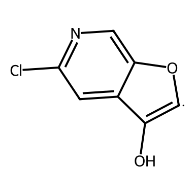 Oc1[c]oc2cnc(Cl)cc12